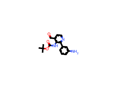 CC(C)(C)OC(=O)Nc1c(C=O)ccnc1-c1cccc(N)c1